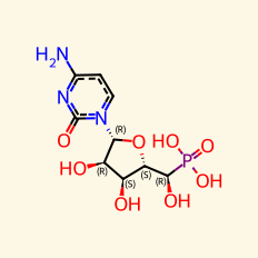 Nc1ccn([C@@H]2O[C@H]([C@H](O)P(=O)(O)O)[C@@H](O)[C@H]2O)c(=O)n1